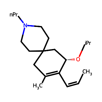 C/C=C\C1=C(C)CC2(CCN(CCC)CC2)C[C@@H]1OC(C)C